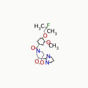 COc1cc(C(=O)N2CC[C@]3(c4ncccn4)OCOC3C2)ccc1OCC(C)(C)F